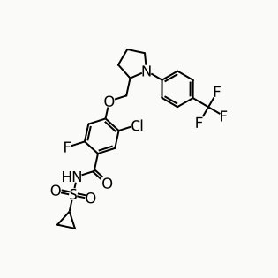 O=C(NS(=O)(=O)C1CC1)c1cc(Cl)c(OCC2CCCN2c2ccc(C(F)(F)F)cc2)cc1F